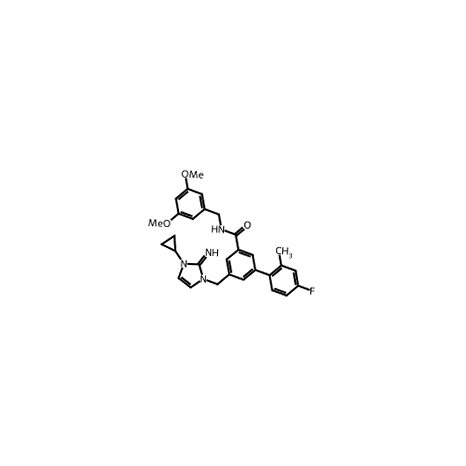 COc1cc(CNC(=O)c2cc(Cn3ccn(C4CC4)c3=N)cc(-c3ccc(F)cc3C)c2)cc(OC)c1